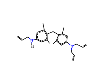 C=CCN(CC)c1cc(C)c(Cc2c(C)cc(N(CC=C)CC=C)cc2C)c(C)c1